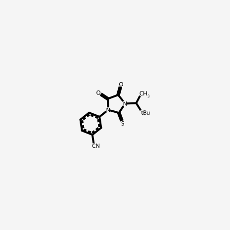 CC(N1C(=O)C(=O)N(c2cccc(C#N)c2)C1=S)C(C)(C)C